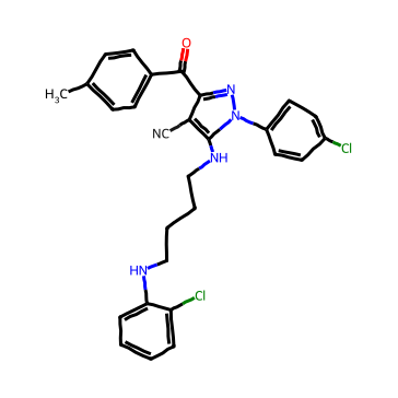 Cc1ccc(C(=O)c2nn(-c3ccc(Cl)cc3)c(NCCCCNc3ccccc3Cl)c2C#N)cc1